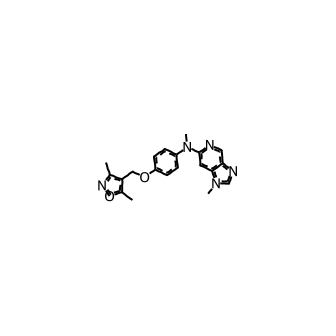 Cc1noc(C)c1COc1ccc(N(C)c2cc3c(cn2)ncn3C)cc1